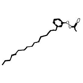 CCCCCCCCCCCCCCCc1cccc(OOC(C)=O)c1